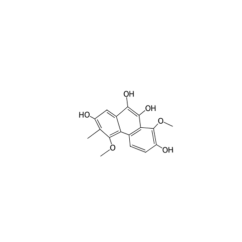 COc1c(O)ccc2c1c(O)c(O)c1cc(O)c(C)c(OC)c12